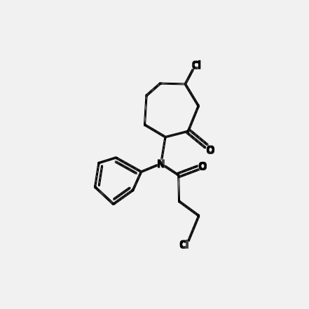 O=C1CC(Cl)CCCC1N(C(=O)CCCl)c1ccccc1